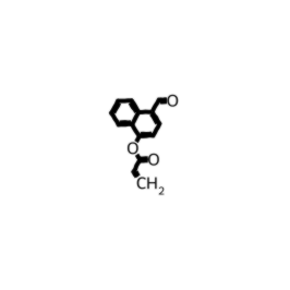 C=CC(=O)Oc1ccc(C=O)c2ccccc12